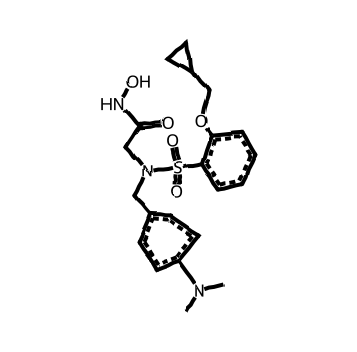 CN(C)c1ccc(CN(CC(=O)NO)S(=O)(=O)c2ccccc2OCC2CC2)cc1